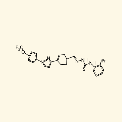 CC(C)c1ccccc1NC(=S)N/N=C/C1CC=C(c2ccn(-c3ccc(OC(F)(F)F)cc3)n2)CC1